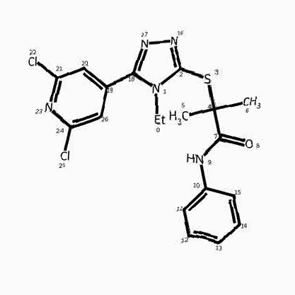 CCn1c(SC(C)(C)C(=O)Nc2ccccc2)nnc1-c1cc(Cl)nc(Cl)c1